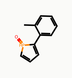 Cc1ccccc1C1=CC=C[PH]1=O